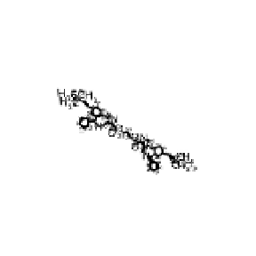 C[Si](C)(C)C#Cc1ccc2c(c1)C(c1ccccc1)=NCc1c(C(=O)OCCCOC(=O)c3ncn4c3CN=C(c3ccccc3)c3cc(C#C[Si](C)(C)C)ccc3-4)ncn1-2